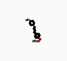 CCCCCOc1ccc(CCC=C[C@H]2CC[C@H](CCC)CC2)cc1